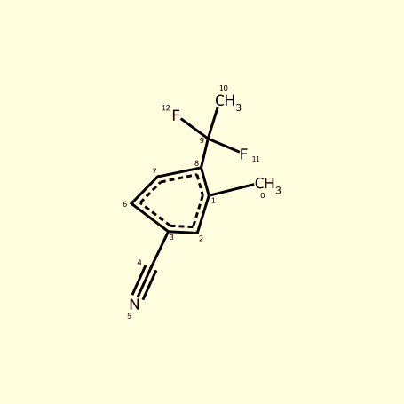 Cc1cc(C#N)ccc1C(C)(F)F